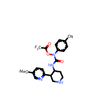 COc1ccc(C2CNCCC2NC(=O)N(OC(=O)C(F)(F)F)c2ccc(C#N)cc2)nc1